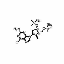 C=C1[C@H](CO[Si](C)(C)C(C)(C)C)[C@@H](O[Si](C)(C)C(C)(C)C)C[C@@H]1n1cnc2c(Cl)nc(N)nc21